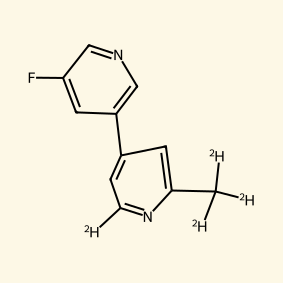 [2H]c1cc(-c2cncc(F)c2)cc(C([2H])([2H])[2H])n1